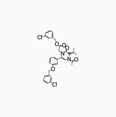 CC(=O)N1C=C(c2cccc(OCc3cccc(Cl)c3)c2)N(CC(=O)OCc2cccc(Cl)c2)C(=O)[C@H]1C(C)C